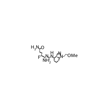 COCCn1ncc2c(N/C(C)=N/C(N)=C(F)\C=C\C(N)=O)cccc21